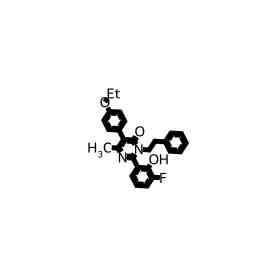 CCOc1ccc(-c2c(C)nc(-c3cccc(F)c3O)n(CCc3ccccc3)c2=O)cc1